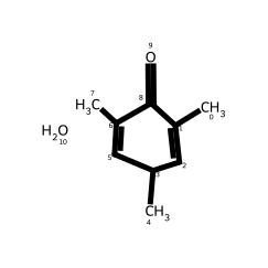 CC1=CC(C)C=C(C)C1=O.O